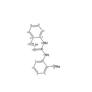 COc1ccccc1NC(=O)Nc1ccccc1C(=O)O